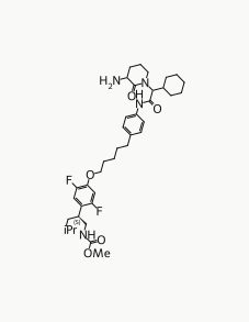 COC(=O)NC[C@@H](CC(C)C)c1cc(F)c(OCCCCCc2ccc(NC(=O)C(C3CCCCC3)N3CCCC(N)C3=O)cc2)cc1F